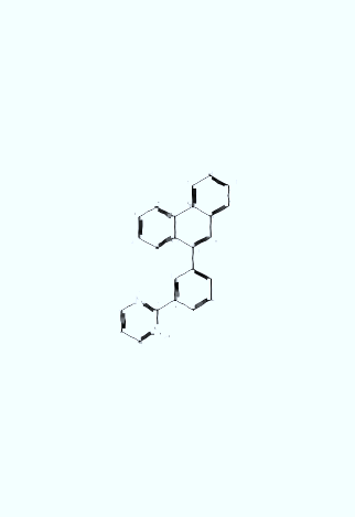 c1cnc(-c2cccc(-c3cc4ccccc4c4ccccc34)c2)nc1